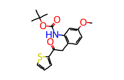 COc1ccc(CC(=O)c2cccs2)c(NC(=O)OC(C)(C)C)c1